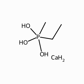 CCP(C)(O)(O)O.[CaH2]